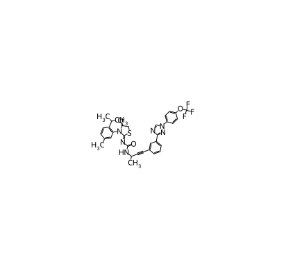 Cc1ccc(C(C)C)c(N2C(=O)CS/C2=N\C(=O)NC(C)C#Cc2cccc(-c3ncn(-c4ccc(OC(F)(F)F)cc4)n3)c2)c1